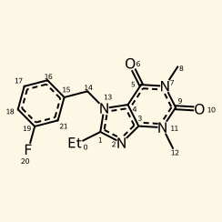 CCc1nc2c(c(=O)n(C)c(=O)n2C)n1Cc1cccc(F)c1